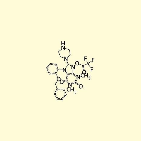 Cn1c2c(c(=O)n(C)c1=O)N(c1ccccc1OCc1ccccc1)C(N1CCNCC1)N2OC(=O)C(F)(F)F